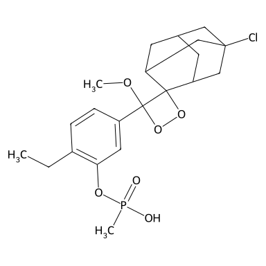 CCc1ccc(C2(OC)OOC23C2CC4CC3CC(Cl)(C4)C2)cc1OP(C)(=O)O